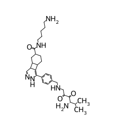 CC(C)[C@H](N)C(=O)C(=O)CNCc1ccc(C2=C3C(C=NN2)C2CC(C(=O)NCCCCCN)CCC32)cc1